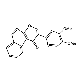 COc1cnc(-c2coc3ccc4ccccc4c3c2=O)cc1OC